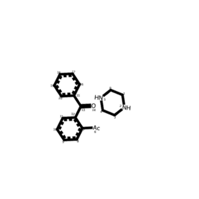 C1CNCCN1.CC(=O)c1ccccc1C(=O)c1ccccc1